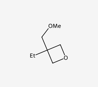 CCC1(COC)COC1